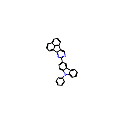 c1ccc(-n2c3ccccc3c3cc(-c4ncc5c(n4)-c4cccc6cccc-5c46)ccc32)cc1